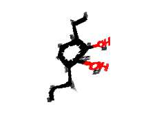 CCCc1ccc(CC)c(O)c1O